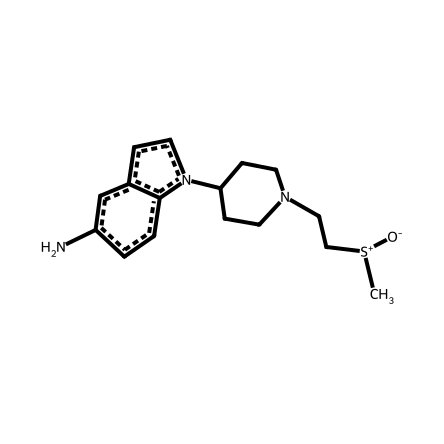 C[S+]([O-])CCN1CCC(n2ccc3cc(N)ccc32)CC1